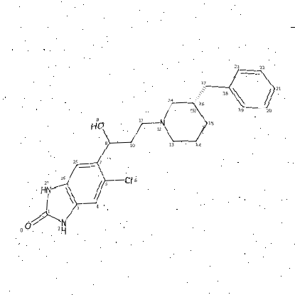 O=c1[nH]c2cc(Cl)c(C(O)CCN3CCC[C@@H](Cc4ccccc4)C3)cc2[nH]1